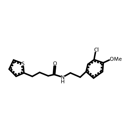 COc1ccc(CCNC(=O)CCCc2cccs2)cc1Cl